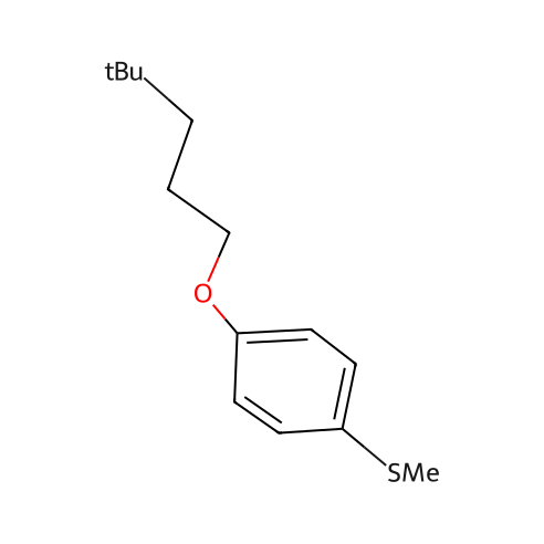 CSc1ccc(OCCCC(C)(C)C)cc1